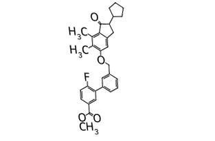 COC(=O)c1ccc(F)c(-c2cccc(COc3cc4c(c(C)c3C)C(=O)C(C3CCCC3)C4)c2)c1